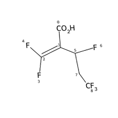 O=C(O)C(=C(F)F)C(F)CC(F)(F)F